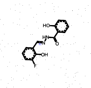 O=C(N/N=C/c1cccc(F)c1O)c1ccccc1O